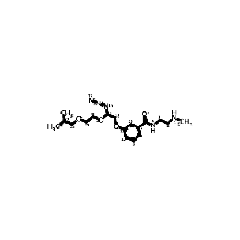 CNCCNC(=O)c1cccc(OCC(N=[N+]=[N-])OCCOCC(C)C)c1